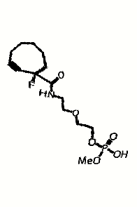 COP(=O)(O)OCCOCCNC(=O)[C@]1(F)C#CCCCCC1